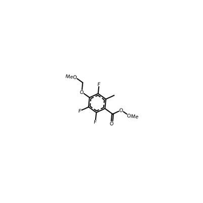 COCOc1c(F)c(C)c(C(=O)OOC)c(F)c1F